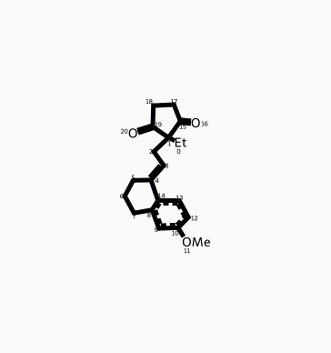 CCC1(CC=C2CCCc3cc(OC)ccc32)C(=O)CCC1=O